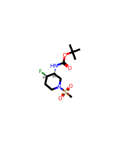 CC(C)(C)OC(=O)N[C@@H]1CN(S(C)(=O)=O)CC[C@H]1F